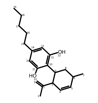 C=C(C)C1C=CC(C)CC1c1c(O)cc(CCCCC)cc1O